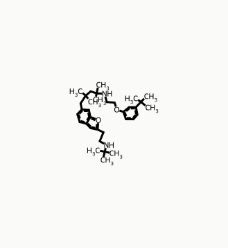 CC(C)(Cc1ccc2cc(CCNC(C)(C)C)oc2c1)CC(C)(C)NCCOc1cccc(C(C)(C)C)c1